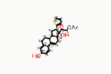 CC(=O)OCC(=O)[C@@]1(O)[C@H](c2cccs2)CC2C3CCC4=CC(O)C=C[C@]4(C)C3=CC[C@@]21C